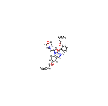 COCCOc1cccc(CN(Cc2cccc(OCCOC)c2)c2nc(CN3CCOCC3)co2)c1